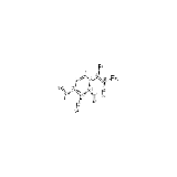 C=Cc1ccc(C(F)=C(F)F)c(F)c1F